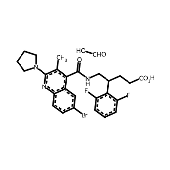 Cc1c(N2CCCC2)nc2ccc(Br)cc2c1C(=O)NCC(CCC(=O)O)c1c(F)cccc1F.O=CO